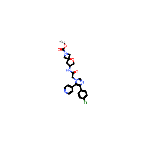 CC(C)(C)OC(=O)N1CC2(CC(NC(=O)Cn3cnc(-c4ccc(Cl)cc4)c3-c3ccncc3)CO2)C1